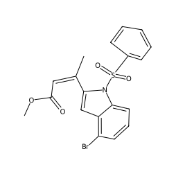 COC(=O)/C=C(/C)c1cc2c(Br)cccc2n1S(=O)(=O)c1ccccc1